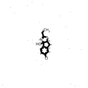 CCC1=NC2(O)c3ccc(Cl)cc3CC2S1